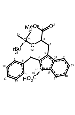 COC(=O)C(Cc1c(Cc2ccccc2)n(C(=O)O)c2ccccc12)O[Si](C)(C)C(C)(C)C